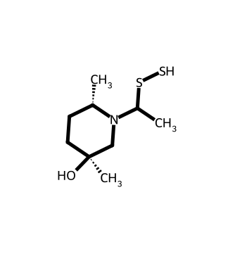 CC(SS)N1C[C@@](C)(O)CC[C@@H]1C